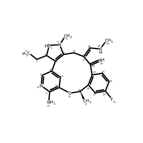 CCC1NN(C)C2=C1c1cnc(N)c(c1)O[C@H](C)c1cc(F)ccc1C(=N)/C(=C\NC)C2